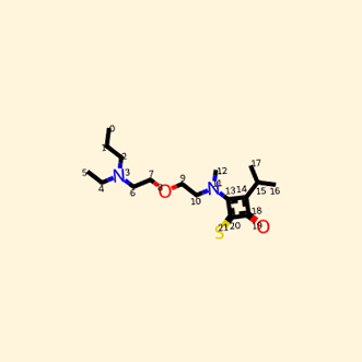 CCCN(CC)CCOCCN(C)c1c(C(C)C)c(=O)c1=S